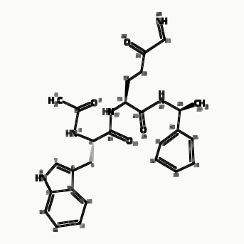 CC(=O)N[C@@H](Cc1c[nH]c2ccccc12)C(=O)N[C@@H](CCC(=O)C=N)C(=O)N[C@@H](C)c1ccccc1